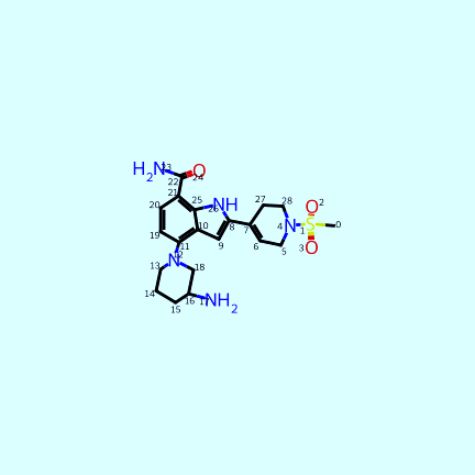 CS(=O)(=O)N1CC=C(c2cc3c(N4CCCC(N)C4)ccc(C(N)=O)c3[nH]2)CC1